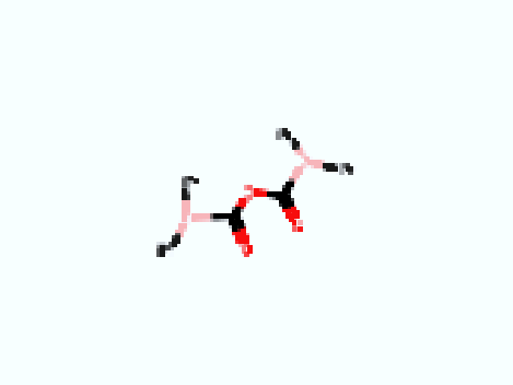 CC(C)B(C(=O)OC(=O)B(C(C)C)C(C)C)C(C)C